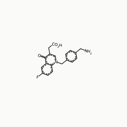 NCc1ccc(Cn2cc(CC(=O)O)c(=O)c3cc(F)ccc32)cc1